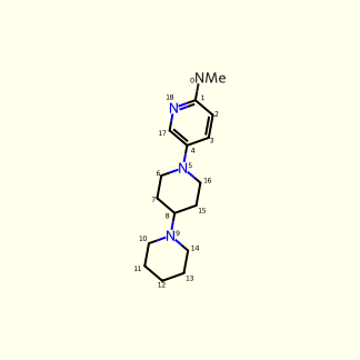 CNc1ccc(N2CCC(N3CCCCC3)CC2)cn1